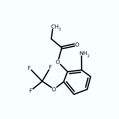 CCC(=O)Oc1c(N)cccc1OC(F)(F)F